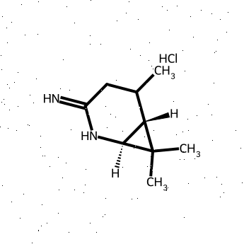 CC1CC(=N)N[C@H]2[C@H]1C2(C)C.Cl